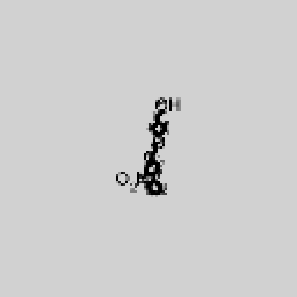 O=[N+]([O-])c1cc(OCCOc2ccc(CCO)cc2)ccc1-c1ccccc1